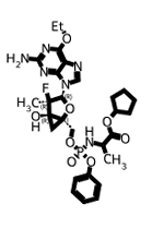 CCOc1nc(N)nc2c1ncn2[C@@H]1O[C@@]2(COP(=O)(NC(C)C(=O)OC3CCCC3)Oc3ccccc3)C[C@]2(O)[C@@]1(C)F